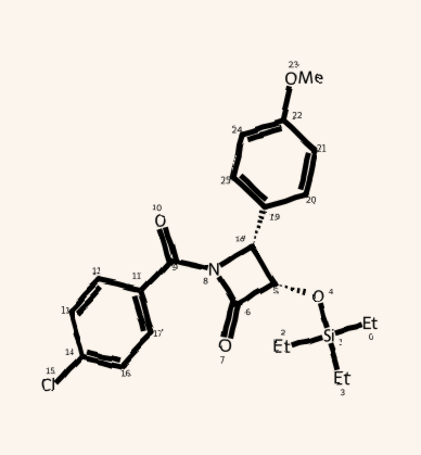 CC[Si](CC)(CC)O[C@@H]1C(=O)N(C(=O)c2ccc(Cl)cc2)[C@@H]1c1ccc(OC)cc1